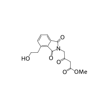 COC(=O)CC(=O)CN1C(=O)c2cccc(CCO)c2C1=O